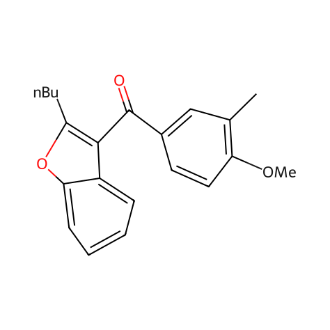 CCCCc1oc2ccccc2c1C(=O)c1ccc(OC)c(C)c1